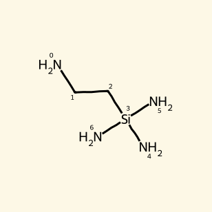 NCC[Si](N)(N)N